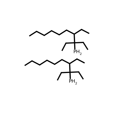 CCCCCCC(CC)C(P)(CC)CC.CCCCCCC(CC)C(P)(CC)CC